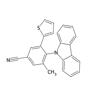 Cc1cc(C#N)cc(-c2cccs2)c1-n1c2ccccc2c2ccccc21